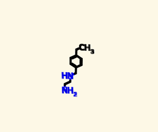 CCc1ccc(CNCCN)cc1